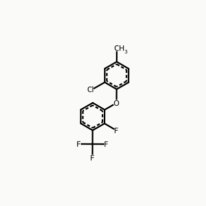 Cc1ccc(Oc2cccc(C(F)(F)F)c2F)c(Cl)c1